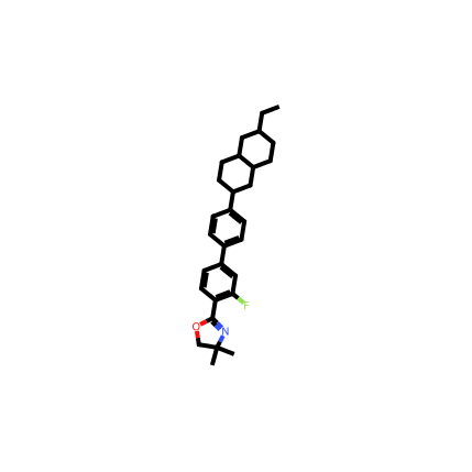 CCC1CCC2CC(c3ccc(-c4ccc(C5=NC(C)(C)CO5)c(F)c4)cc3)CCC2C1